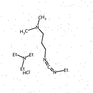 CCN(CC)CC.CCN=C=NCCCN(C)C.Cl